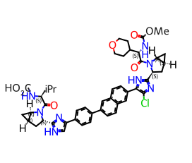 COC(=O)N[C@H](C(=O)N1[C@@H]2C[C@H]2C[C@H]1c1nc(Cl)c(-c2ccc3cc(-c4ccc(-c5c[nH]c([C@@H]6C[C@H]7C[C@H]7N6C(=O)[C@@H](NC(=O)O)C(C)C)n5)cc4)ccc3c2)[nH]1)C1CCOCC1